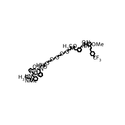 CNC(C)C(=O)NC(C(=O)N1CCCC1C(=O)Nc1sc(NC(=O)COCCOCCOCCOCCOCCN(C)C(=O)Cc2cccc(CNC(=O)c3cc(C=CC4CCC(C(F)(F)F)CC4)c(OC)cn3)c2)nc1-c1ccccc1)C1CCCCC1